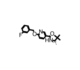 C[C@H](NC(=O)c1ccc(OCc2cccc(F)c2)nc1)C(C)(C)C